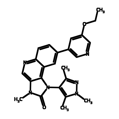 CCOc1cncc(-c2ccc3ncc4c(c3c2)n(-c2c(C)nn(C)c2C)c(=O)n4C)c1